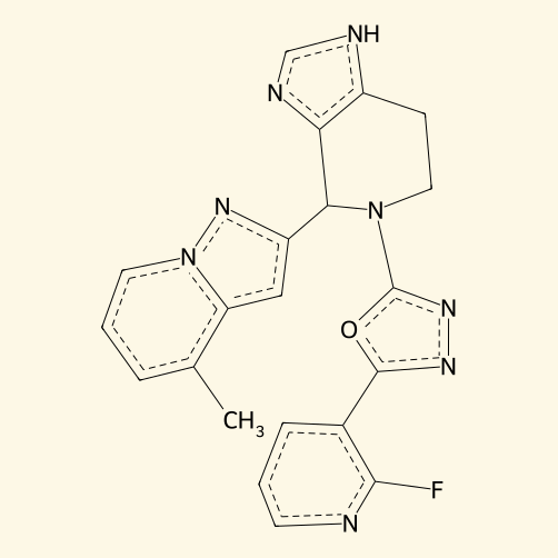 Cc1cccn2nc(C3c4nc[nH]c4CCN3c3nnc(-c4cccnc4F)o3)cc12